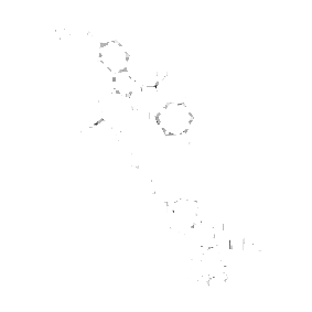 COc1ccc2c(c1)c(CC(=O)OCCOCCN1CCN(CC(C)(C)SN=O)CC1)c(C)n2C(=O)c1ccc(Cl)cc1